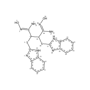 NC(=NO)C(Sc1nc2ccccc2[nH]1)C(Sc1nc2ccccc2[nH]1)C(N)=NO